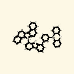 c1cc(B2c3ccccc3Oc3ccccc32)cc(-c2cccc3c2oc2c(-n4c5ccc6ccccc6c5c5ccc6ccccc6c54)cccc23)c1